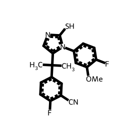 COc1cc(-n2c(C(C)(C)c3ccc(F)c(C#N)c3)cnc2S)ccc1F